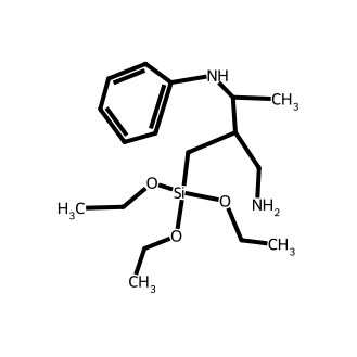 CCO[Si](CC(CN)C(C)Nc1ccccc1)(OCC)OCC